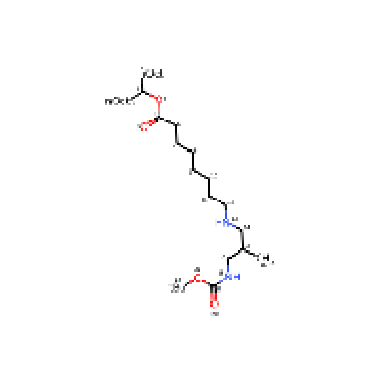 CCCCCCCCC(CCCCCCCC)OC(=O)CCCCCCCNCC(C)CNC(=O)OC(C)(C)C